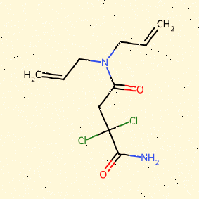 C=CCN(CC=C)C(=O)CC(Cl)(Cl)C(N)=O